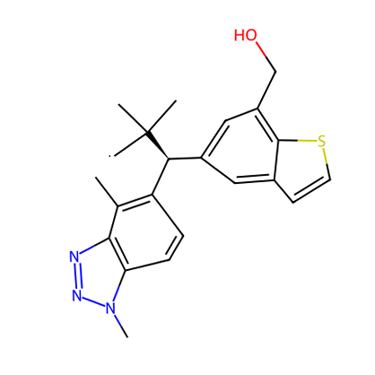 [CH2]C(C)(C)[C@@H](c1cc(CO)c2sccc2c1)c1ccc2c(nnn2C)c1C